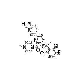 CC(Oc1ccc(-c2ccc(N)nc2)nc1C(=O)N1CCN(C)CC1)c1c(Cl)ccc(F)c1Cl